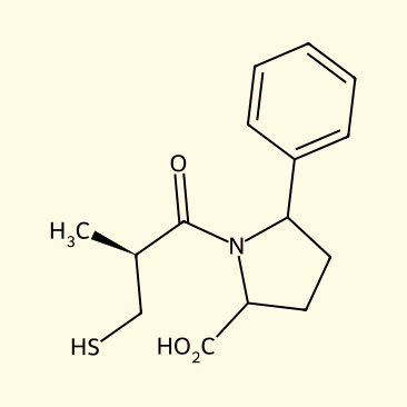 C[C@H](CS)C(=O)N1C(C(=O)O)CCC1c1ccccc1